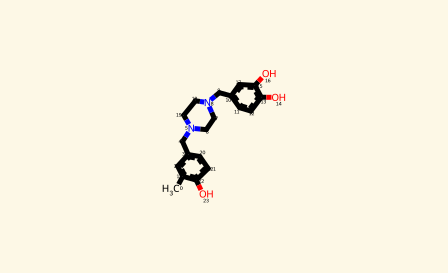 Cc1cc(CN2CCN(Cc3ccc(O)c(O)c3)CC2)ccc1O